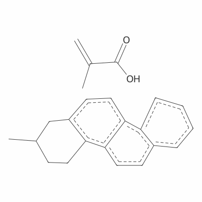 C=C(C)C(=O)O.CC1CCc2c(ccc3c2ccc2ccccc23)C1